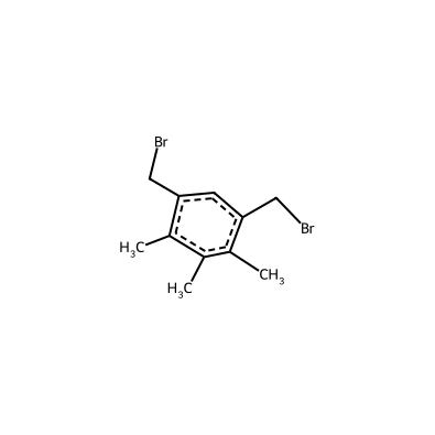 Cc1c(CBr)cc(CBr)c(C)c1C